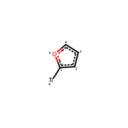 [Ti][c]1ccco1